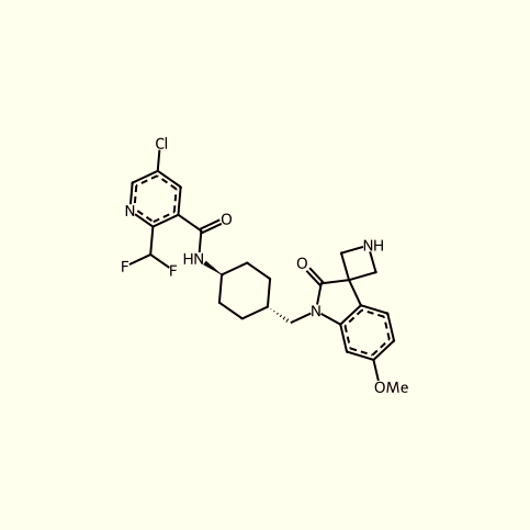 COc1ccc2c(c1)N(C[C@H]1CC[C@H](NC(=O)c3cc(Cl)cnc3C(F)F)CC1)C(=O)C21CNC1